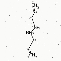 C=CCNNCC=C